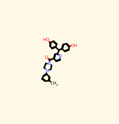 Cc1cccc(N2CCN(C(=O)c3ccnc(C(c4ccc(O)cc4)c4ccc(O)cc4)c3)CC2)c1